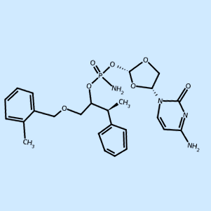 Cc1ccccc1COCC(OP(N)(=O)O[C@@H]1OC[C@H](n2ccc(N)nc2=O)O1)[C@@H](C)c1ccccc1